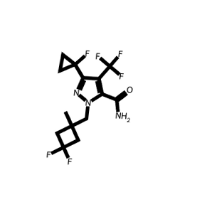 CC1(Cn2nc(C3(F)CC3)c(C(F)(F)F)c2C(N)=O)CC(F)(F)C1